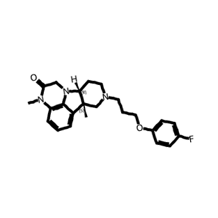 CN1C(=O)CN2c3c1cccc3[C@@]1(C)CN(CCCOc3ccc(F)cc3)CC[C@@H]21